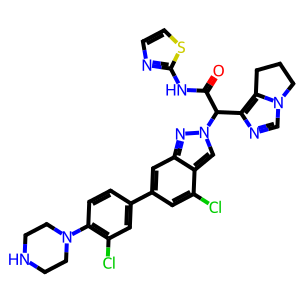 O=C(Nc1nccs1)C(c1ncn2c1CCC2)n1cc2c(Cl)cc(-c3ccc(N4CCNCC4)c(Cl)c3)cc2n1